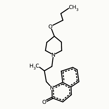 CCCOC1CCN(CC(C)Cn2c(=O)ccc3ccccc32)CC1